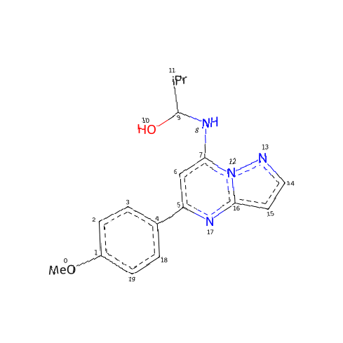 COc1ccc(-c2cc(NC(O)C(C)C)n3nccc3n2)cc1